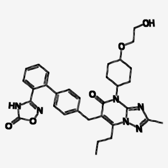 CCCc1c(Cc2ccc(-c3ccccc3-c3noc(=O)[nH]3)cc2)c(=O)n(C2CCC(OCCO)CC2)c2nc(C)nn12